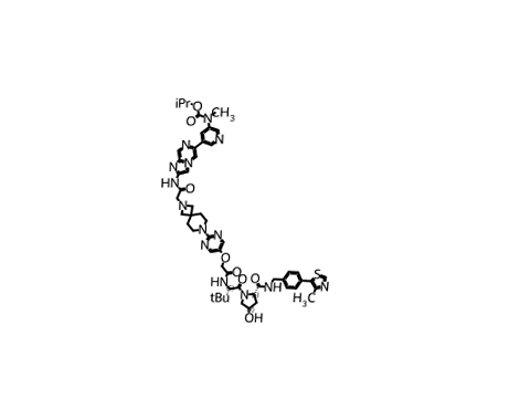 Cc1ncsc1-c1ccc(CNC(=O)[C@@H]2C[C@@H](O)CN2C(=O)[C@@H](NC(=O)COc2cnc(N3CCC4(CC3)CN(CC(=O)Nc3cn5cc(-c6cncc(N(C)C(=O)OC(C)C)c6)ncc5n3)C4)nc2)C(C)(C)C)cc1